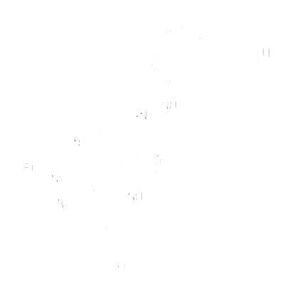 CCn1ncc2c(NC3CCOCC3)c(C(=O)NNC(=O)c3ccc(C)cc3C)cnc21